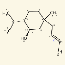 CC(C)[C@@H]1CCC(C)(C/C=C/S)C[C@H]1O